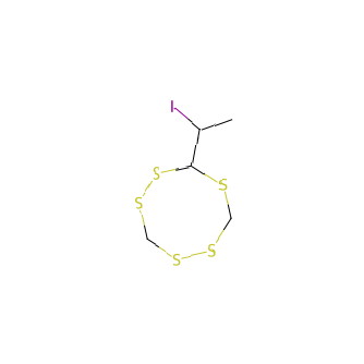 CC(I)C1SCSSCSS1